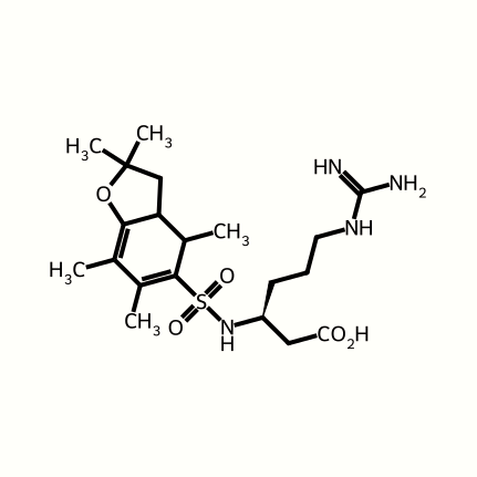 CC1=C2OC(C)(C)CC2C(C)C(S(=O)(=O)N[C@@H](CCCNC(=N)N)CC(=O)O)=C1C